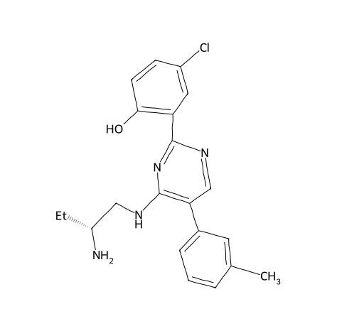 CC[C@@H](N)CNc1nc(-c2cc(Cl)ccc2O)ncc1-c1cccc(C)c1